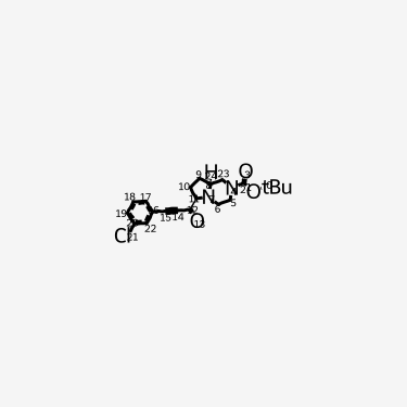 CC(C)(C)OC(=O)N1CCN2[C@@H](CC[C@@H]2C(=O)C#Cc2cccc(Cl)c2)C1